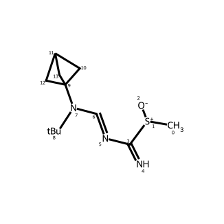 C[S+]([O-])C(=N)/N=C/N(C(C)(C)C)C12CC(C1)C2